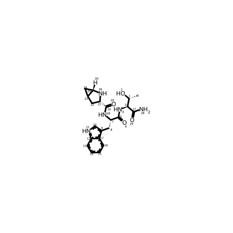 C[C@@H](O)[C@H](NC(=O)[C@H](Cc1c[nH]c2ccccc12)NC(=O)[C@@H]1CC2C[C@@H]2N1)C(N)=O